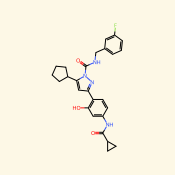 O=C(Nc1ccc(-c2cc(C3CCCC3)n(C(=O)NCc3cccc(F)c3)n2)c(O)c1)C1CC1